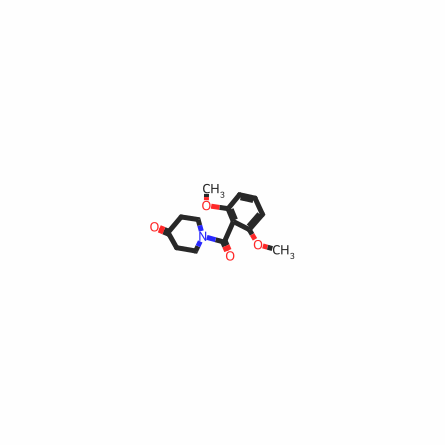 COc1cccc(OC)c1C(=O)N1CCC(=O)CC1